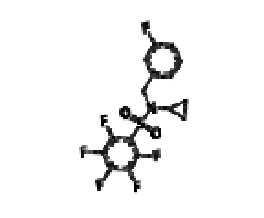 O=S(=O)(c1c(F)c(F)c(F)c(F)c1F)N(Cc1cccc(F)c1)C1CC1